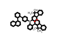 CC1(C)c2ccccc2-c2ccc(N(c3ccc(-c4ccccc4-c4cccc5ccccc45)cc3)c3ccccc3-c3cccc4c3C(C)(C)c3ccccc3-4)cc21